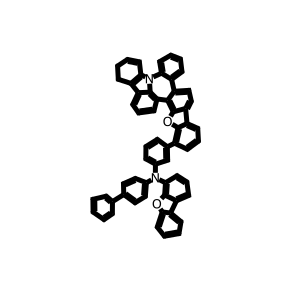 C1=Cc2c(c3cccc4c3n2-c2ccccc2-c2ccc3c(oc5c(-c6cccc(N(c7ccc(-c8ccccc8)cc7)c7cccc8c7oc7ccccc78)c6)cccc53)c2-4)CC1